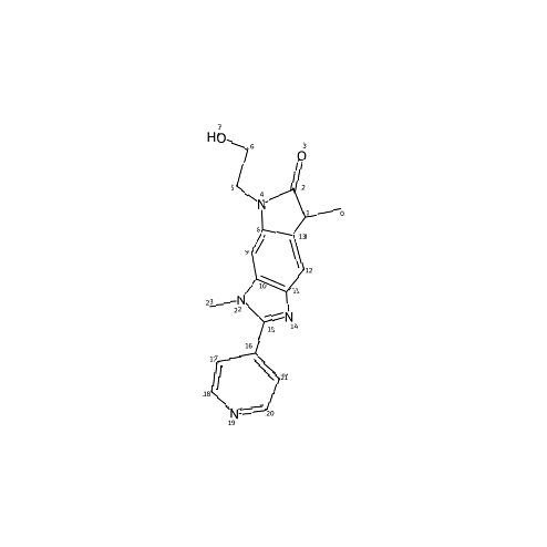 CC1C(=O)N(CCO)c2cc3c(cc21)nc(-c1ccncc1)n3C